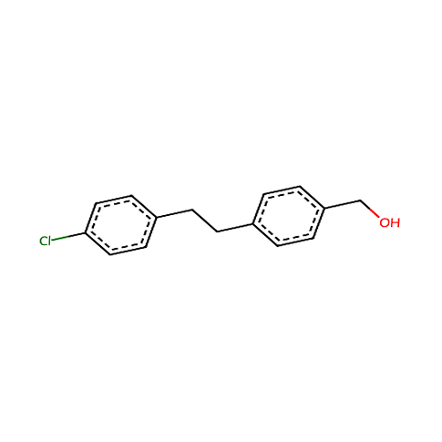 OCc1ccc(CCc2ccc(Cl)cc2)cc1